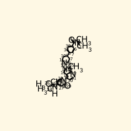 CN(C)C(=O)c1ccc(C2CCN(Cc3cc4c(-n5ccc(NC(C)(C)C)cc5=O)ccnc4n3C)CC2)cc1